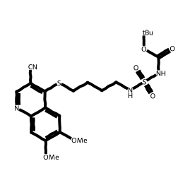 COc1cc2ncc(C#N)c(SCCCCNS(=O)(=O)NC(=O)OC(C)(C)C)c2cc1OC